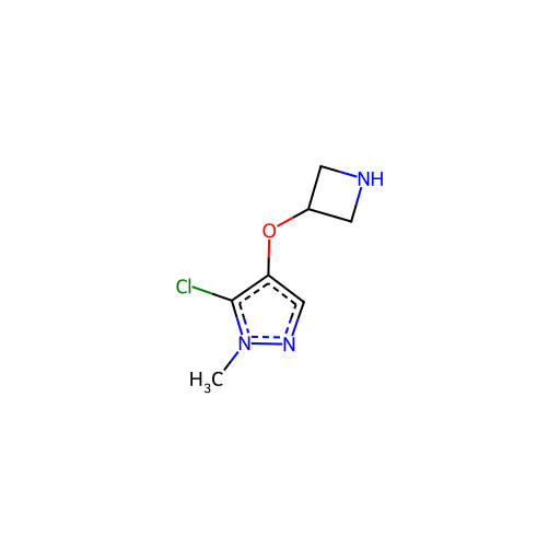 Cn1ncc(OC2CNC2)c1Cl